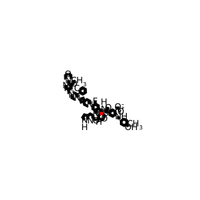 COc1cc(CN2CCN(C3CC4(CCN(c5cc(N6c7cc8cc[nH]c8nc7O[C@H]7COCC[C@@H]76)c(C(=O)NS(=O)(=O)c6ccc(NC[C@H]7CC[C@](C)(O)CC7)c([N+](=O)[O-])c6)cc5F)CC4)C3)[C@H](c3ccccc3C)C2)cnc1N1CCOCC1